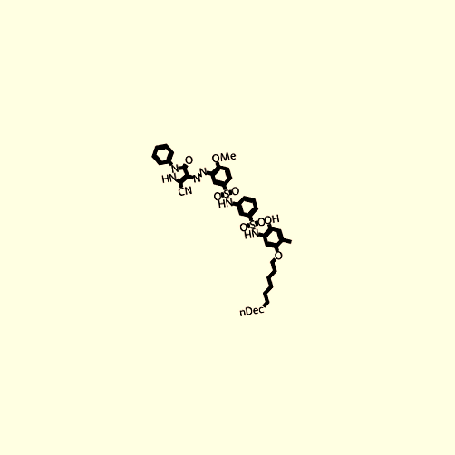 CCCCCCCCCCCCCCCCOc1cc(NS(=O)(=O)c2cccc(NS(=O)(=O)c3ccc(OC)c(N=Nc4c(C#N)[nH]n(-c5ccccc5)c4=O)c3)c2)c(O)cc1C